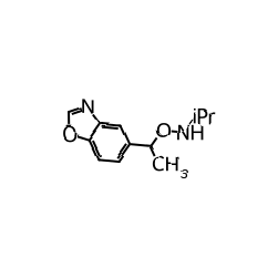 CC(C)NOC(C)c1ccc2ocnc2c1